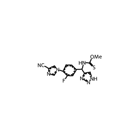 COC(=S)NC(c1ccc(-n2cnc(C#N)c2)c(F)c1)c1c[nH]nn1